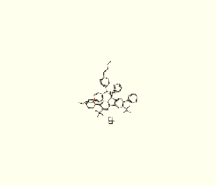 CCCCc1ccc([C](c2ccc(CCCC)cc2)=[Hf+2]([C]2=CC=CC2)[CH]2c3cc(-c4ccccc4)c(C(C)(C)C)cc3-c3cc(C(C)(C)C)c(-c4ccccc4)cc32)cc1.[Cl-].[Cl-]